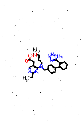 CCCCN(Cc1ccc(-c2ccccc2-c2nnn[nH]2)cc1)c1nc(CC)ncc1CC(=O)O